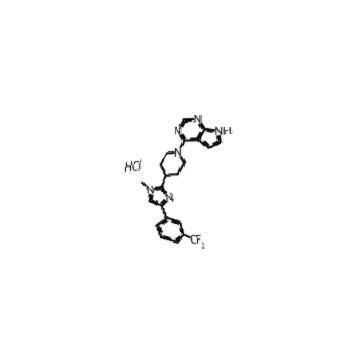 Cl.Cn1cc(-c2cccc(C(F)(F)F)c2)nc1C1CCN(c2ncnc3[nH]ccc23)CC1